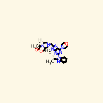 CCc1nc2ccccc2n1-c1nc(N2CCOCC2)c2nc(CN3CCN4[C@@H](COC(=O)C4(C)C)C3)n(C)c2n1